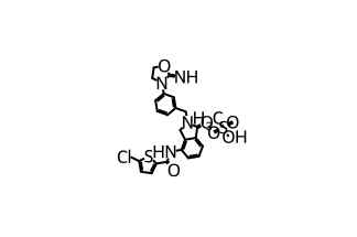 CS(=O)(=O)O.N=C1OCCN1c1cccc(CN2Cc3c(NC(=O)c4ccc(Cl)s4)cccc3C2=O)c1